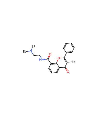 CCc1c(-c2ccccc2)oc2c(C(=O)NCCN(CC)CC)cccc2c1=O